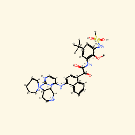 COc1c(NC(=O)C(=O)c2ccc(Nc3ccnc([N+]4(C5CCNCC5)CCCCC4)n3)c3ccccc23)cc(C(C)(C)C)cc1NS(C)(=O)=O